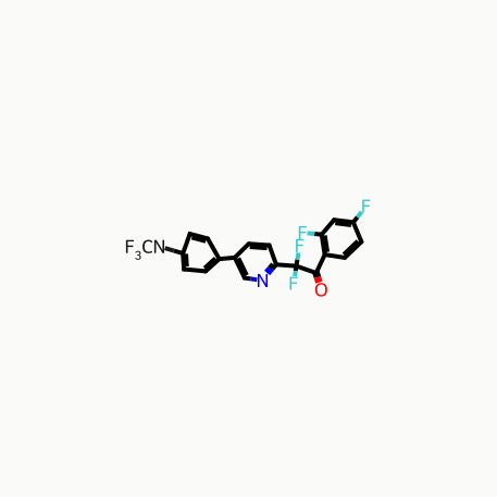 O=C(c1ccc(F)cc1F)C(F)(F)c1ccc(-c2ccc(NC(F)(F)F)cc2)cn1